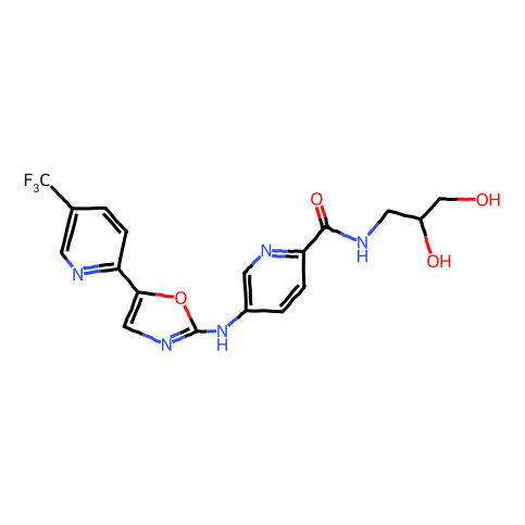 O=C(NCC(O)CO)c1ccc(Nc2ncc(-c3ccc(C(F)(F)F)cn3)o2)cn1